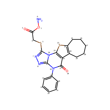 NOC(=O)CSc1nnc2n(-c3ccccc3)c(=O)c3c4c(sc3n12)CCCCC4